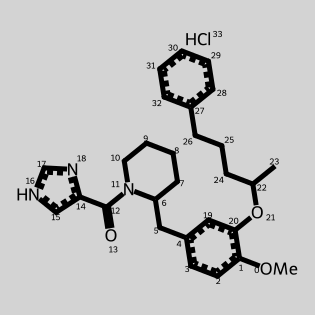 COc1ccc(CC2CCCCN2C(=O)c2c[nH]cn2)cc1OC(C)CCCc1ccccc1.Cl